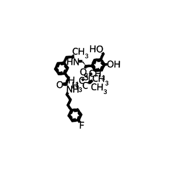 C[C@H](Cc1cccc(CC(=O)NCCCc2ccc(F)cc2)c1)NC[C@@H](O[Si](C)(C)C(C)(C)C)c1ccc(O)c(CO)c1